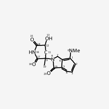 CNc1cccc2c1CN(C1(C)CC(O)C(=O)NC1=O)C2=O